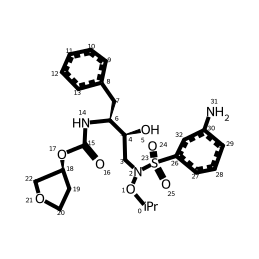 CC(C)ON(C[C@H](O)[C@H](Cc1ccccc1)NC(=O)O[C@H]1CCOC1)S(=O)(=O)c1cccc(N)c1